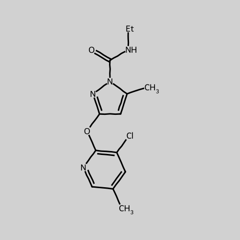 CCNC(=O)n1nc(Oc2ncc(C)cc2Cl)cc1C